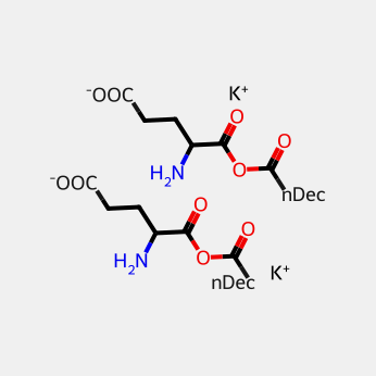 CCCCCCCCCCC(=O)OC(=O)C(N)CCC(=O)[O-].CCCCCCCCCCC(=O)OC(=O)C(N)CCC(=O)[O-].[K+].[K+]